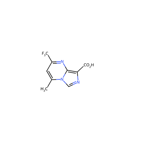 Cc1cc(C(F)(F)F)nc2c(C(=O)O)ncn12